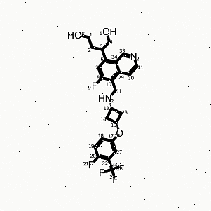 OCCC(CO)c1cc(F)c(CN[C@H]2C[C@H](Oc3ccc(F)c(C(F)(F)F)c3)C2)c2ccncc12